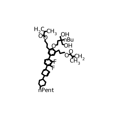 C=C(C)C(=O)OCCCc1cc(-c2ccc(C3=CCC(C4CCC(CCCCC)CC4)C=C3)c(F)c2F)cc(CCCOC(=O)C(=C)C)c1OCCC(CO)(CO)CCCC